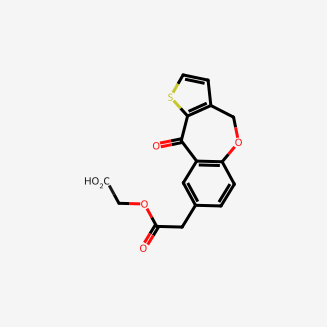 O=C(O)COC(=O)Cc1ccc2c(c1)C(=O)c1sccc1CO2